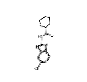 O=C(Nc1nc2cc(Cl)ccc2s1)[C@@H]1CCCCN1